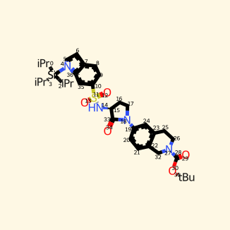 CC(C)[Si](C(C)C)(C(C)C)n1ccc2ccc(S(=O)(=O)N[C@H]3CCN(c4ccc5c(c4)CCN(C(=O)OC(C)(C)C)C5)C3=O)cc21